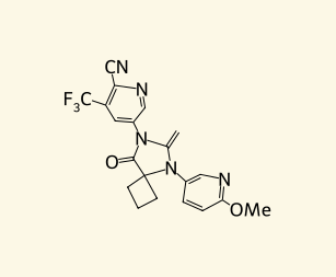 C=C1N(c2cnc(C#N)c(C(F)(F)F)c2)C(=O)C2(CCC2)N1c1ccc(OC)nc1